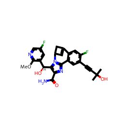 COc1ncc(F)cc1[C@H](O)c1c(C(N)=O)nc2n1C1C=C(C1)c1cc(F)c(C#CC(C)(C)O)cc1-2